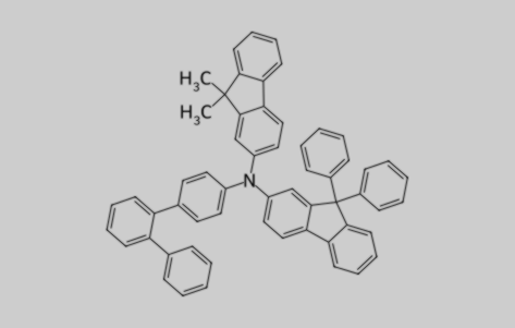 CC1(C)c2ccccc2-c2ccc(N(c3ccc(-c4ccccc4-c4ccccc4)cc3)c3ccc4c(c3)C(c3ccccc3)(c3ccccc3)c3ccccc3-4)cc21